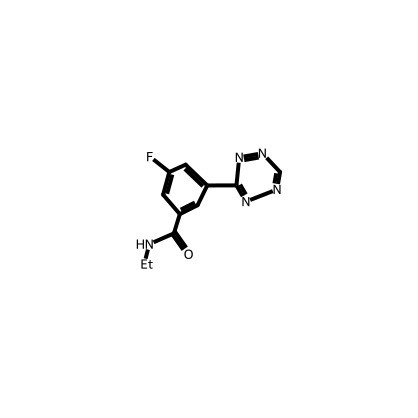 CCNC(=O)c1cc(F)cc(-c2nncnn2)c1